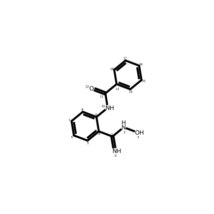 N=C(NO)c1ccccc1NC(=O)c1ccccc1